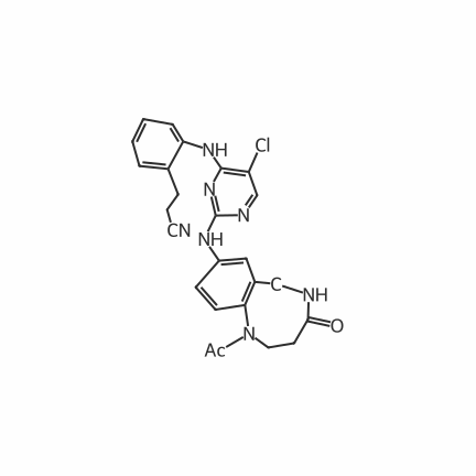 CC(=O)N1CCC(=O)NCc2cc(Nc3ncc(Cl)c(Nc4ccccc4CCC#N)n3)ccc21